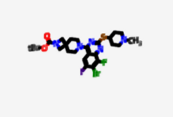 CN1CCC(Sc2nc(N3CCC4(CC3)CN(C(=O)OC(C)(C)C)C4)c3cc(I)c(Br)c(F)c3n2)CC1